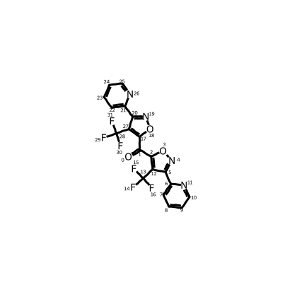 O=C(c1onc(-c2ccccn2)c1C(F)(F)F)c1onc(-c2ccccn2)c1C(F)(F)F